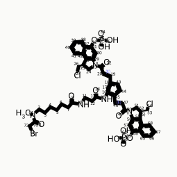 CN(CCCCCCC(=O)NCCC(=O)Nc1cc(/C=C/C(=O)N2C[C@@H](CCl)c3c2cc(OP(=O)(O)O)c2ccccc32)ccc1/C=C/C(=O)N1C[C@@H](CCl)c2c1cc(OP(=O)(O)O)c1ccccc21)C(=O)CBr